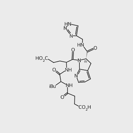 CCC(C)C(NC(=O)CCC(=O)O)C(=O)NC(CCC(=O)O)C(=O)N1c2ncccc2C[C@H]1C(=O)NCc1c[nH]nn1